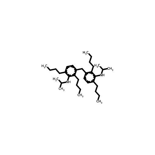 CCCCc1ccc(Cc2ccc(CCCC)c(NC(C)C)c2CCCC)c(CCCC)c1NC(C)C